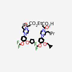 CC(C)CC1CN(c2ccc(OC(F)F)c(OCC3CC3)c2)CCN1C(=O)CC(=O)O.CCOC(=O)CC(=O)N1CCN(c2ccc(OC(F)F)c(OC3CCCC3)c2)CC1CC(C)C